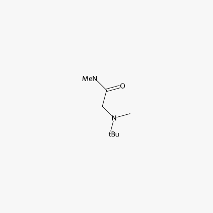 CNC(=O)CN(C)C(C)(C)C